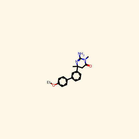 CCOc1ccc(-c2cccc(C3(C)CC(=O)N(C)C(N)=N3)c2)cc1